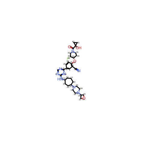 N#Cc1cc(-c2ncnc(NC3CCCC(N4CCN(C5COC5)CC4)CC3)n2)ccc1O[C@H]1CCN(C(=O)C2(O)CC2)C[C@H]1F